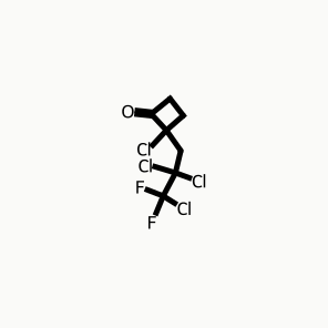 O=C1CCC1(Cl)CC(Cl)(Cl)C(F)(F)Cl